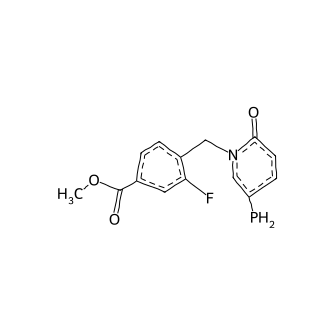 COC(=O)c1ccc(Cn2cc(P)ccc2=O)c(F)c1